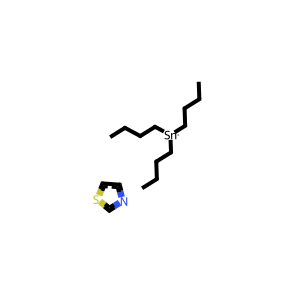 CCC[CH2][Sn]([CH2]CCC)[CH2]CCC.c1cscn1